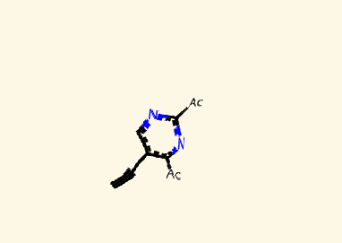 C#Cc1cnc(C(C)=O)nc1C(C)=O